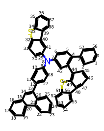 c1ccc(-c2ccc(N(c3ccc(-c4cc5ccccc5c5ccccc45)cc3)c3ccc4sc5ccccc5c4c3)cc2-c2cccc3c2sc2ccccc23)cc1